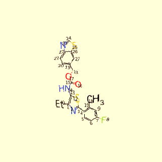 CCc1nc(-c2ccc(F)cc2C)sc1NC(=O)OCc1ccc2ncsc2c1